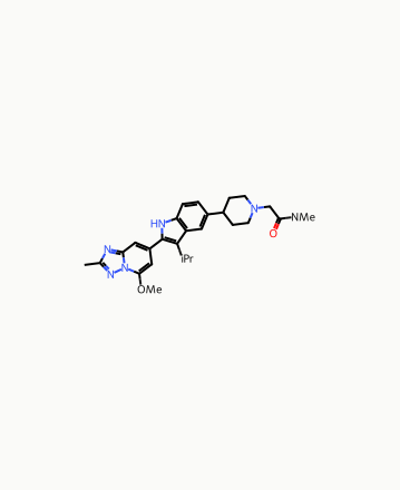 CNC(=O)CN1CCC(c2ccc3[nH]c(-c4cc(OC)n5nc(C)nc5c4)c(C(C)C)c3c2)CC1